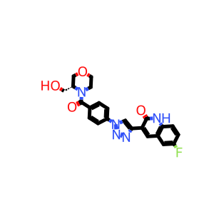 O=C(c1ccc(-n2cc(-c3cc4cc(F)ccc4[nH]c3=O)nn2)cc1)N1CCOC[C@H]1CO